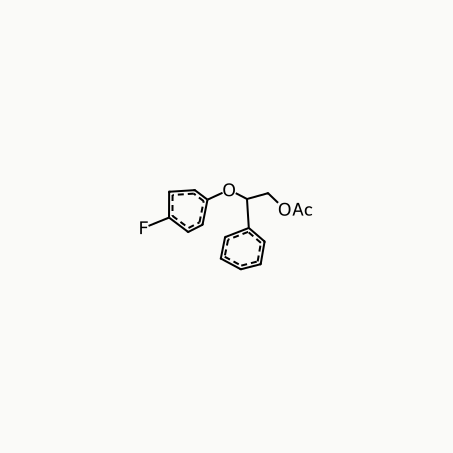 CC(=O)OCC(Oc1ccc(F)cc1)c1ccccc1